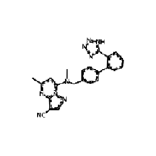 Cc1cc(N(C)Cc2ccc(-c3ccccc3-c3nnn[nH]3)cc2)n2ncc(C#N)c2n1